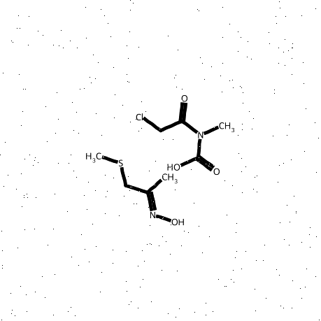 CN(C(=O)O)C(=O)CCl.CSC/C(C)=N/O